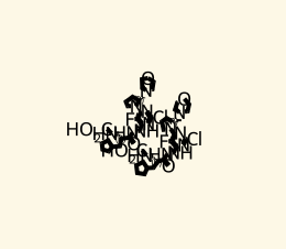 O=C(O)NC[C@@H](CC1CCCC1)C(=O)NNc1nc(Cl)nc(N2CCC[C@@H]2CN2CCOCC2)c1F.O=C(O)NC[C@@H](CC1CCCC1)C(=O)NNc1nc(Cl)nc(N2CCC[C@@H]2CN2CCOCC2)c1F